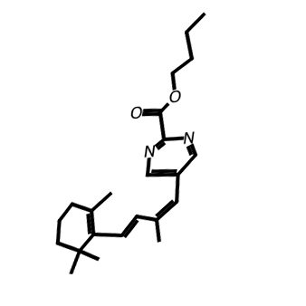 CCCCOC(=O)c1ncc(C=C(C)C=CC2=C(C)CCCC2(C)C)cn1